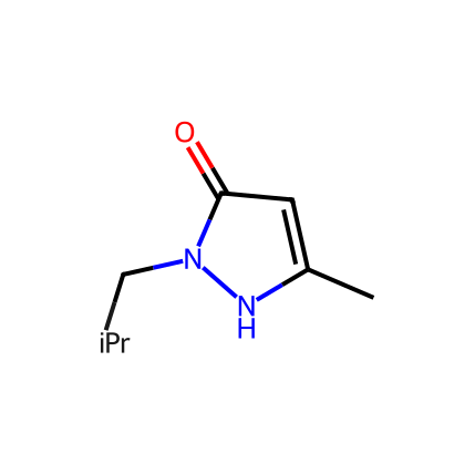 Cc1cc(=O)n(CC(C)C)[nH]1